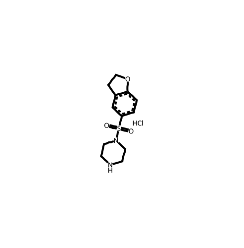 Cl.O=S(=O)(c1ccc2c(c1)CCO2)N1CCNCC1